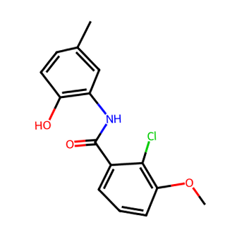 COc1cccc(C(=O)Nc2cc(C)ccc2O)c1Cl